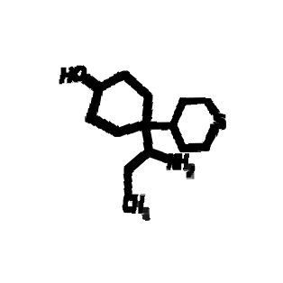 CCC(N)C1(C2CCSCC2)CCC(O)CC1